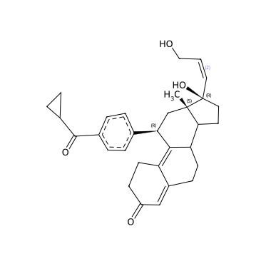 C[C@]12C[C@H](c3ccc(C(=O)C4CC4)cc3)C3=C4CCC(=O)C=C4CCC3C1CC[C@@]2(O)/C=C\CO